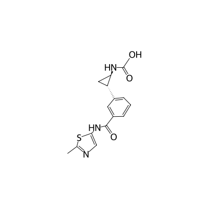 Cc1ncc(NC(=O)c2cccc([C@@H]3C[C@H]3NC(=O)O)c2)s1